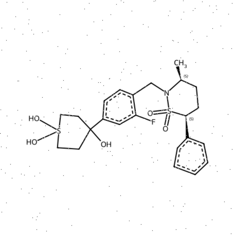 C[C@H]1CC[C@@H](c2ccccc2)S(=O)(=O)N1Cc1ccc(C2(O)CCS(O)(O)CC2)cc1F